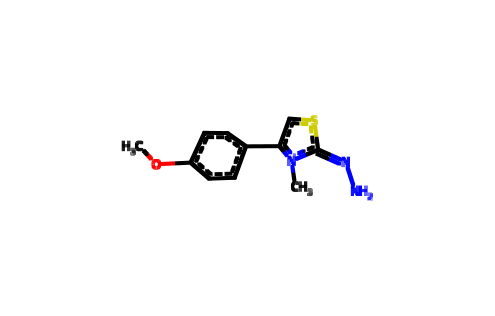 COc1ccc(-c2csc(=NN)n2C)cc1